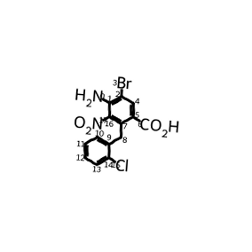 Nc1c(Br)cc(C(=O)O)c(Cc2ccccc2Cl)c1[N+](=O)[O-]